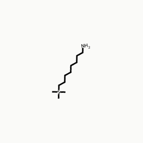 CS(C)(C)CCCCCCCCN